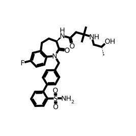 C[C@@H](O)CNC(C)(C)CC(=O)N[C@@H]1CCc2cc(F)ccc2N(Cc2ccc(-c3ccccc3S(N)(=O)=O)cc2)C1=O